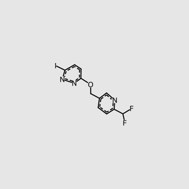 FC(F)c1ccc(COc2ccc(I)nn2)cn1